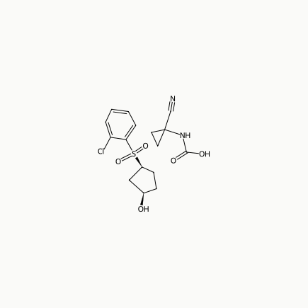 N#CC1(NC(=O)O)CC1.O=S(=O)(c1ccccc1Cl)[C@H]1CC[C@@H](O)C1